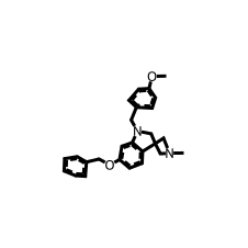 COc1ccc(CN2CC3(CN(C)C3)c3ccc(OCc4ccccc4)cc32)cc1